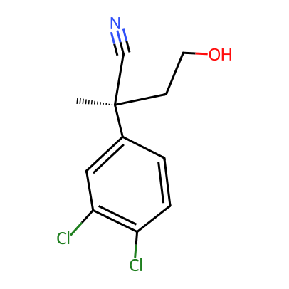 C[C@](C#N)(CCO)c1ccc(Cl)c(Cl)c1